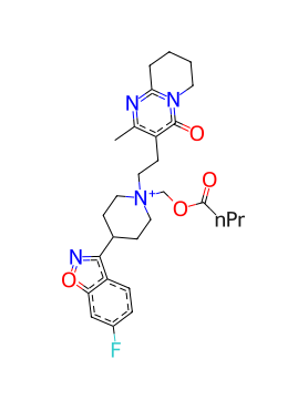 CCCC(=O)OC[N+]1(CCc2c(C)nc3n(c2=O)CCCC3)CCC(c2noc3cc(F)ccc23)CC1